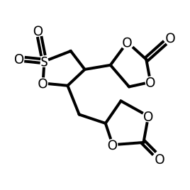 O=C1OCC(CC2OS(=O)(=O)CC2C2COC(=O)O2)O1